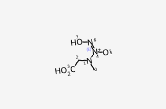 CN(CC(=O)O)/[N+]([O-])=N\O